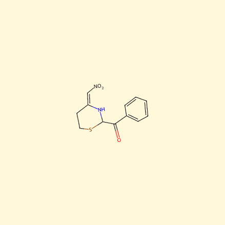 O=C(c1ccccc1)C1NC(=C[N+](=O)[O-])CCS1